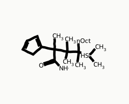 CCCCCCCCC(C)([SiH](C)C)C(C)(C)C(C)(C([NH])=O)C1=CC=CC1